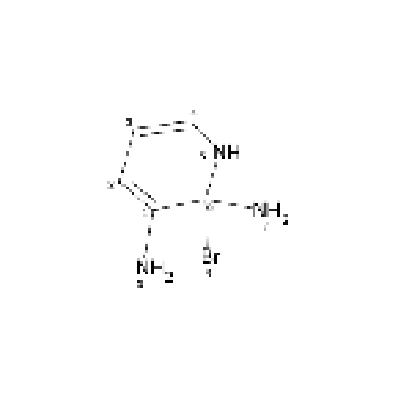 NC1=CC=CNC1(N)Br